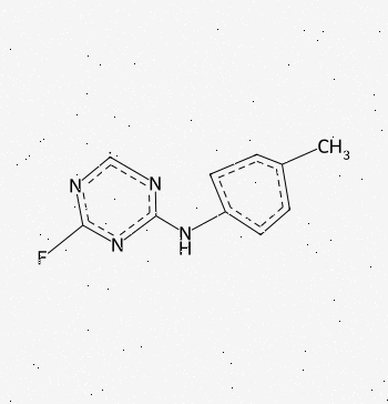 Cc1ccc(Nc2n[c]nc(F)n2)cc1